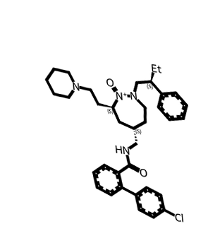 CC[C@H](CN1CC[C@H](CNC(=O)c2ccccc2-c2ccc(Cl)cc2)C[C@@H](CCN2CCCCC2)[N+]1=O)c1ccccc1